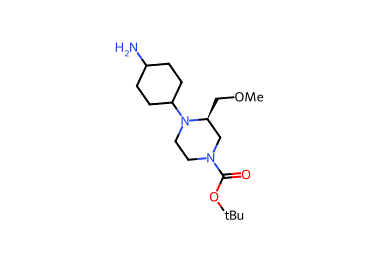 COC[C@H]1CN(C(=O)OC(C)(C)C)CCN1C1CCC(N)CC1